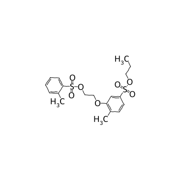 CCCOS(=O)(=O)c1ccc(C)c(OCCOS(=O)(=O)c2ccccc2C)c1